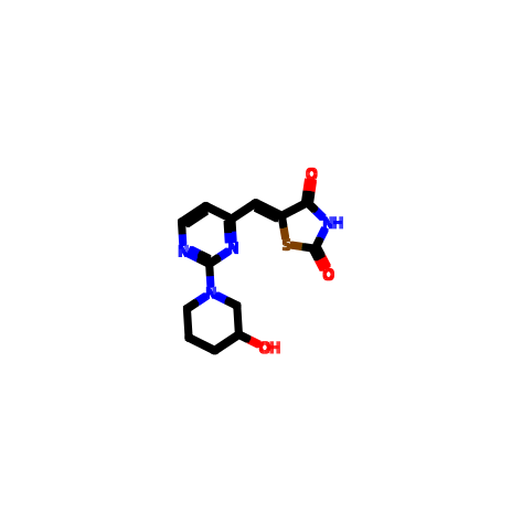 O=C1NC(=O)C(=Cc2ccnc(N3CCCC(O)C3)n2)S1